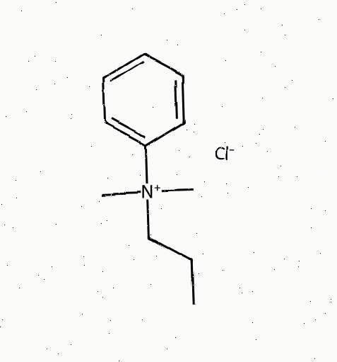 CCC[N+](C)(C)c1ccccc1.[Cl-]